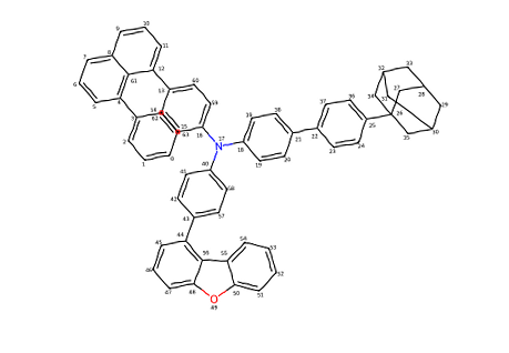 c1ccc(-c2cccc3cccc(-c4ccc(N(c5ccc(-c6ccc(C78CC9CC(CC(C9)C7)C8)cc6)cc5)c5ccc(-c6cccc7oc8ccccc8c67)cc5)cc4)c23)cc1